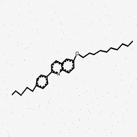 CCCCCCCCCCOc1ccc2nc(-c3ccc(CCCCC)cc3)ccc2c1